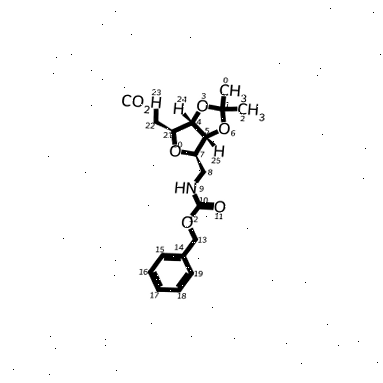 CC1(C)O[C@@H]2[C@H](O1)[C@@H](CNC(=O)OCc1ccccc1)O[C@H]2CC(=O)O